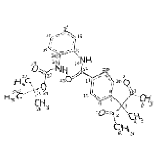 CC(=O)C(C)(C(C)=O)c1ccc(C(=O)Nc2ccccc2NC(=O)OC(C)(C)C)cc1